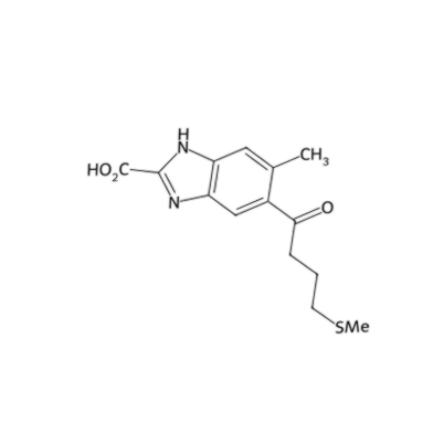 CSCCCC(=O)c1cc2nc(C(=O)O)[nH]c2cc1C